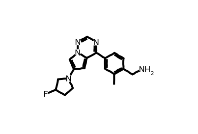 Cc1cc(-c2ncnn3cc(N4CCC(F)C4)cc23)ccc1CN